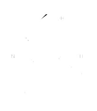 CS(=O)(=O)c1cccc(C(=O)c2cnc(N3CC[C@@H](CO)C3)s2)c1